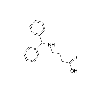 O=C(O)CCCNC(c1ccccc1)c1ccccc1